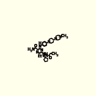 C=CC(=O)NC1(CNc2nc(Nc3ccc(N4CCC(N5CCN(C)CC5)CC4)cc3)c(C(N)=O)nc2CC)CCCC1